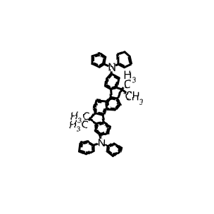 CC1(C)c2cc(N(C3=CC=CCC3)c3ccccc3)ccc2-c2c1ccc1c3c(ccc21)C(C)(C)c1cc(N(c2ccccc2)c2ccccc2)ccc1-3